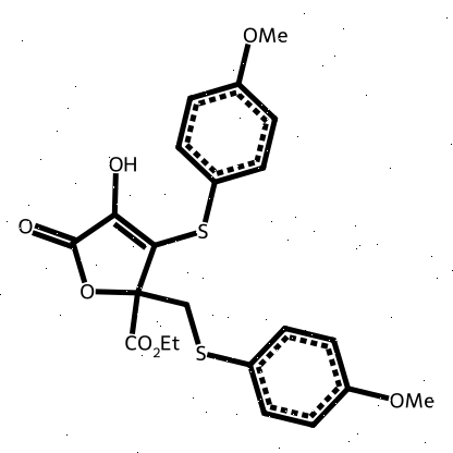 CCOC(=O)C1(CSc2ccc(OC)cc2)OC(=O)C(O)=C1Sc1ccc(OC)cc1